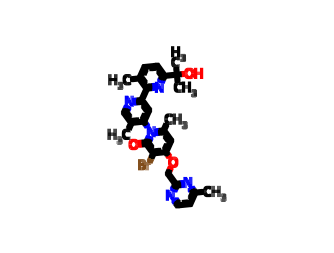 Cc1ccnc(COc2cc(C)n(-c3cc(-c4nc(C(C)(C)O)ccc4C)ncc3C)c(=O)c2Br)n1